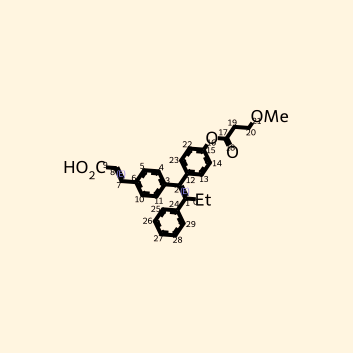 CC/C(=C(/c1ccc(/C=C/C(=O)O)cc1)c1ccc(OC(=O)CCOC)cc1)c1ccccc1